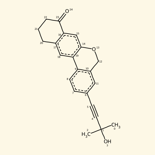 CC(C)(O)C#Cc1ccc2c(c1)COc1cc3c(cc1-2)CCCC3=O